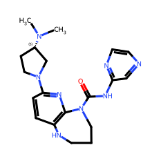 CN(C)[C@H]1CCN(c2ccc3c(n2)N(C(=O)Nc2cnccn2)CCCN3)C1